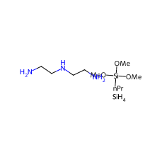 CCC[Si](OC)(OC)OC.NCCNCCN.[SiH4]